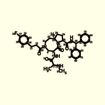 CN[C@@H](C)C(=O)N[C@H]1CN(C(=O)CCc2ccc(F)cc2)CC[C@H]2CC[C@@H](C(=O)NC(c3ccccc3)c3ccccc3)N2C1=O